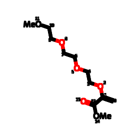 C=C(OCCOCCOCCOC)C(=O)OC